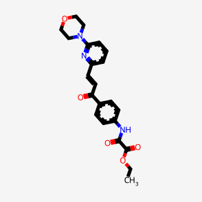 CCOC(=O)C(=O)Nc1ccc(C(=O)/C=C/c2cccc(N3CCOCC3)n2)cc1